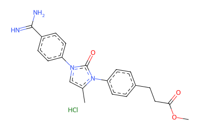 COC(=O)CCc1ccc(-n2c(C)cn(-c3ccc(C(=N)N)cc3)c2=O)cc1.Cl